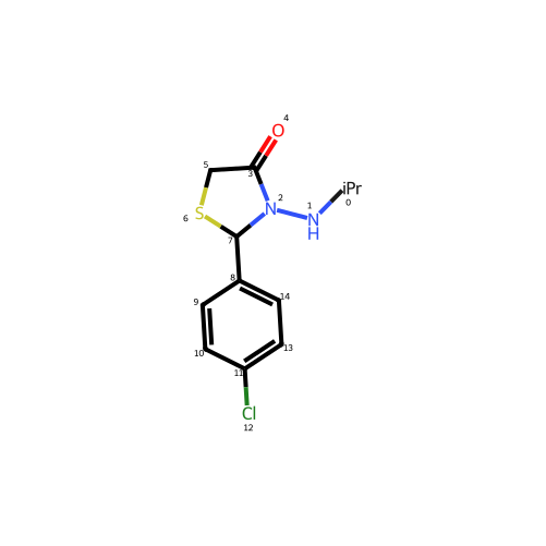 CC(C)NN1C(=O)CSC1c1ccc(Cl)cc1